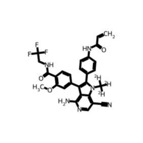 [2H]C([2H])([2H])n1c(-c2ccc(NC(=O)C=C)cc2)c(-c2ccc(C(=O)NCC(F)(F)F)c(OC)c2)c2c(N)ncc(C#N)c21